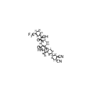 N#Cc1ccc(-c2cccc(C3(c4nc5c(c(=O)[nH]4)CN(C(=O)[C@H](O)c4cccc(C(F)(F)F)c4)CCC5)CC3)c2)cc1C#N